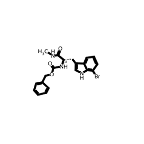 CNC(=O)[C@H](Cc1c[nH]c2c(Br)cccc12)NC(=O)OCc1ccccc1